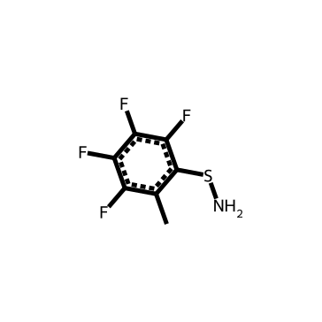 Cc1c(F)c(F)c(F)c(F)c1SN